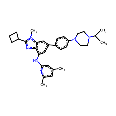 Cc1cc(C)nc(Nc2cc(-c3ccc(N4CCN(C(C)C)CC4)cc3)cc3c2nc(C2CCC2)n3C)c1